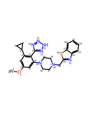 CC(C)Oc1cc(C2CC2)c(-c2nn[nH]n2)c(N2CCN(Cc3nc4ccccc4s3)CC2)c1